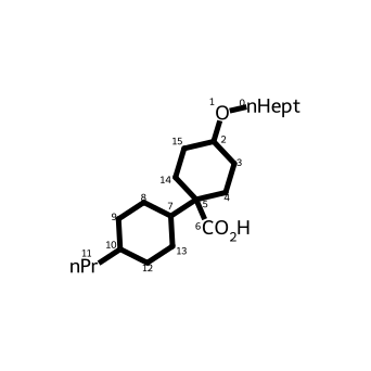 CCCCCCCOC1CCC(C(=O)O)(C2CCC(CCC)CC2)CC1